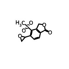 CS(=O)(=O)c1c(C2CO2)ccc2c1COC2=O